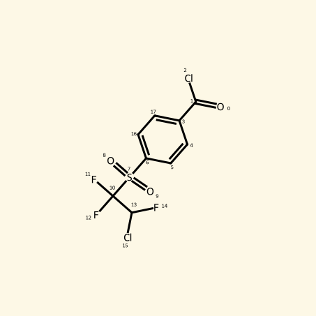 O=C(Cl)c1ccc(S(=O)(=O)C(F)(F)C(F)Cl)cc1